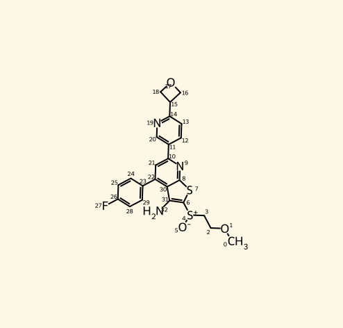 COCC[S+]([O-])c1sc2nc(-c3ccc(C4COC4)nc3)cc(-c3ccc(F)cc3)c2c1N